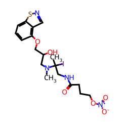 CN(CC(O)COc1cccc2sncc12)C(C)(I)CNC(=O)CCCO[N+](=O)[O-]